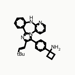 CC(C)(C)C=Cc1nc2n(c1-c1ccc(C3(N)CCC3)cc1)-c1cccnc1Nc1ccccc1-2